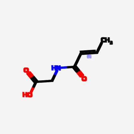 C/C=C/C(=O)NCC(=O)O